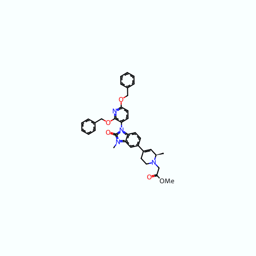 COC(=O)CN1CCC(c2ccc3c(c2)n(C)c(=O)n3-c2ccc(OCc3ccccc3)nc2OCc2ccccc2)=C[C@H]1C